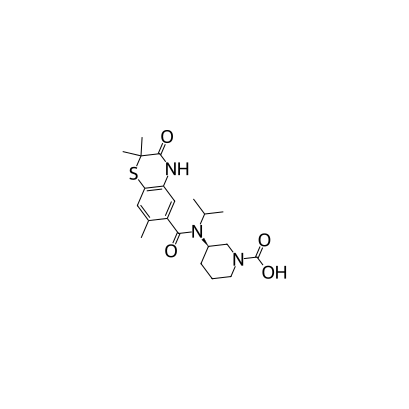 Cc1cc2c(cc1C(=O)N(C(C)C)[C@@H]1CCCN(C(=O)O)C1)NC(=O)C(C)(C)S2